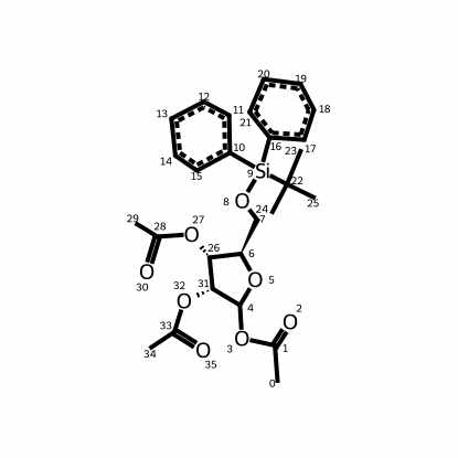 CC(=O)OC1O[C@H](CO[Si](c2ccccc2)(c2ccccc2)C(C)(C)C)[C@@H](OC(C)=O)[C@H]1OC(C)=O